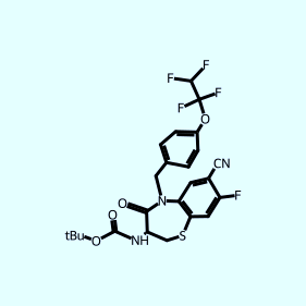 CC(C)(C)OC(=O)N[C@H]1CSc2cc(F)c(C#N)cc2N(Cc2ccc(OC(F)(F)C(F)F)cc2)C1=O